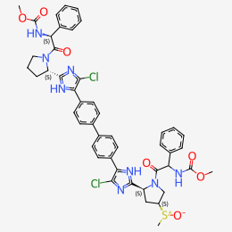 COC(=O)NC(C(=O)N1C[C@@H]([S+](C)[O-])C[C@H]1c1nc(Cl)c(-c2ccc(-c3ccc(-c4[nH]c([C@@H]5CCCN5C(=O)[C@@H](NC(=O)OC)c5ccccc5)nc4Cl)cc3)cc2)[nH]1)c1ccccc1